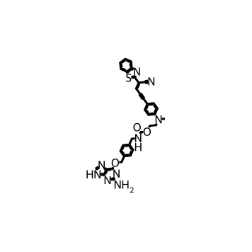 CN(CCOC(=O)NCc1ccc(COc2nc(N)nc3[nH]cnc23)cc1)c1ccc(C#C/C=C(\C#N)c2nc3ccccc3s2)cc1